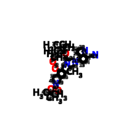 COCOc1c(CN2C(C)CN(c3ccc(C#N)c4ncccc34)CC2CO[Si](C)(C)C(C)(C)C)ccc2c1CCN(C(=O)OC(C)(C)C)C2